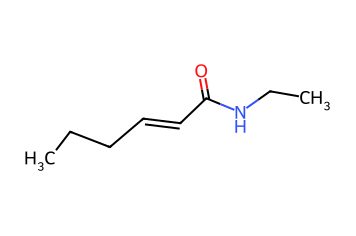 CCCC=CC(=O)NCC